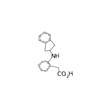 O=C(O)Cc1ccccc1NC1Cc2ccccc2C1